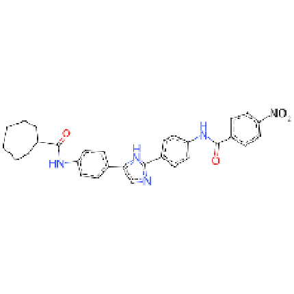 O=C(Nc1ccc(-c2ncc(-c3ccc(NC(=O)C4CCCCCC4)cc3)[nH]2)cc1)c1ccc([N+](=O)[O-])cc1